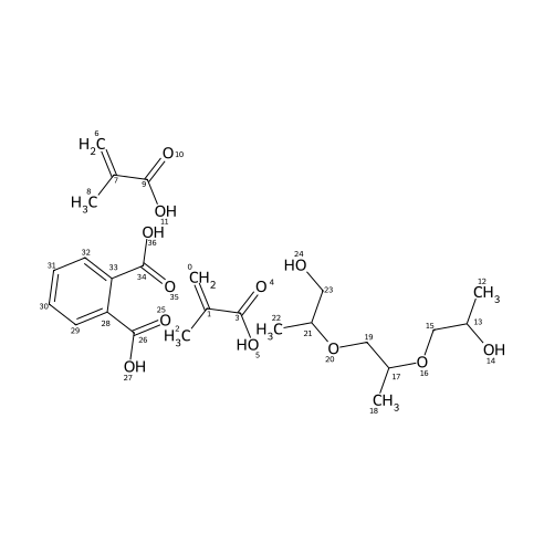 C=C(C)C(=O)O.C=C(C)C(=O)O.CC(O)COC(C)COC(C)CO.O=C(O)c1ccccc1C(=O)O